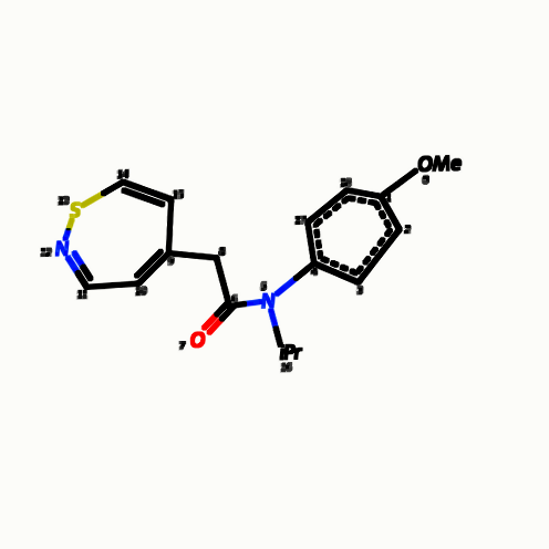 COc1ccc(N(C(=O)CC2=CC=NSC=C2)C(C)C)cc1